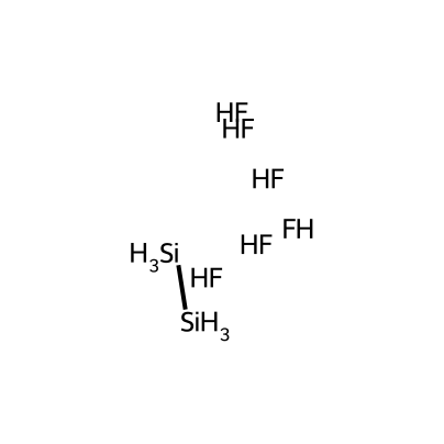 F.F.F.F.F.F.[SiH3][SiH3]